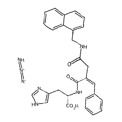 O=C(CC(=Cc1ccccc1)C(=O)N[C@@H](Cc1c[nH]cn1)C(=O)O)NCc1cccc2ccccc12.[N-]=[N+]=N